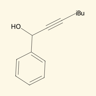 CCC(C)C#CC(O)c1ccccc1